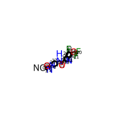 N#Cc1cnc(N2CCC(NC(=O)c3cnc4cc(OC(F)F)c(F)cc4c3)CC2)o1